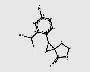 O=C1OCCC12CC2c1ccc(Br)cc1C(F)F